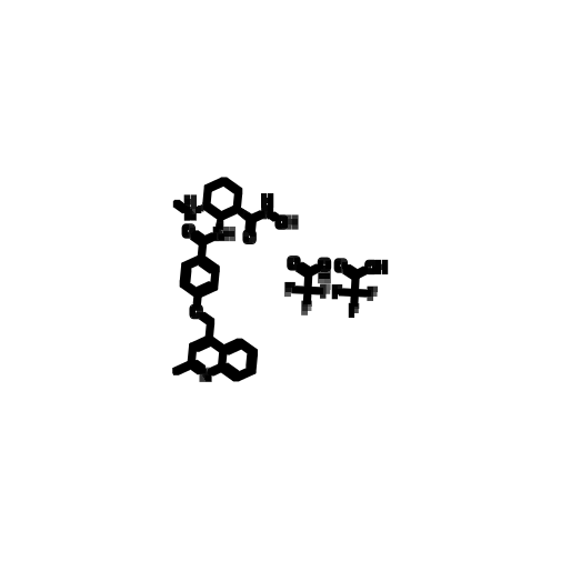 CN[C@@H]1CCC[C@@H](C(=O)NO)[C@H]1NC(=O)c1ccc(OCc2cc(C)nc3ccccc23)cc1.O=C(O)C(F)(F)F.O=C(O)C(F)(F)F